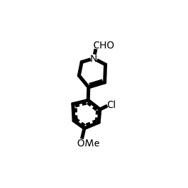 COc1ccc(C2=CCN(C=O)CC2)c(Cl)c1